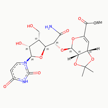 COC(=O)C1=C[C@@H]2OC(C)(C)O[C@@H]2[C@@H](O[C@@H](C(N)=O)[C@H]2O[C@@H](n3ccc(=O)[nH]c3=O)[C@H](O)[C@@H]2CO)O1